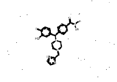 CC(C)N(C(=O)c1ccc(C(c2ccc(F)c(O)c2)N2CCN(Cc3ncc[nH]3)CC2)cc1)C(C)C